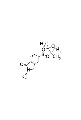 CC1(C)OB(c2ccc3c(c2)CN(C2CC2)C3=O)OC1(C)C